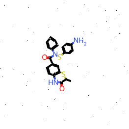 CC1Sc2cc(C(=O)N(Sc3ccc(N)cc3)c3ccccc3)ccc2NC1=O